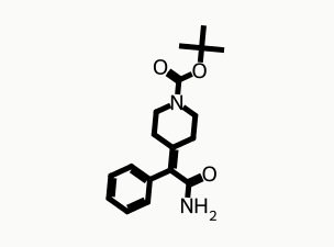 CC(C)(C)OC(=O)N1CCC(=C(C(N)=O)c2ccccc2)CC1